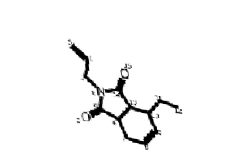 C=CCN1C(=O)C2CC=CC(CC)C2C1=O